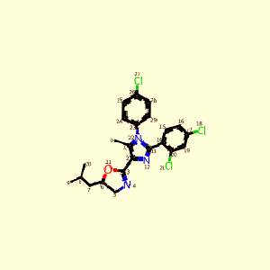 Cc1c(C2=NCC(CC(C)C)O2)nc(-c2ccc(Cl)cc2Cl)n1-c1ccc(Cl)cc1